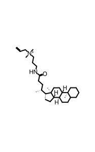 C=CC[N+](C)(C)CCCNC(=O)CC[C@@H](C)[C@H]1CC[C@H]2[C@@H]3CCC4CCCC[C@]4(C)[C@H]3CC[C@]12C